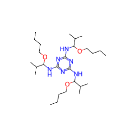 CCCCOC(Nc1nc(NC(OCCCC)C(C)C)nc(NC(OCCCC)C(C)C)n1)C(C)C